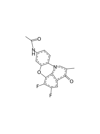 CC(=O)Nc1ccc2c(c1)Oc1c(F)c(F)cc3c(=O)c(C)cn-2c13